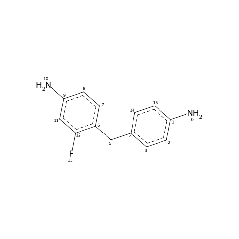 Nc1ccc(Cc2ccc(N)cc2F)cc1